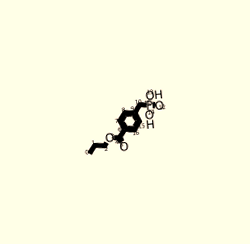 CCCOC(=O)c1ccc(CP(=O)(O)O)cc1